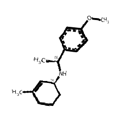 COc1ccc([C@H](C)N[C@@H]2C=C(C)CCC2)cc1